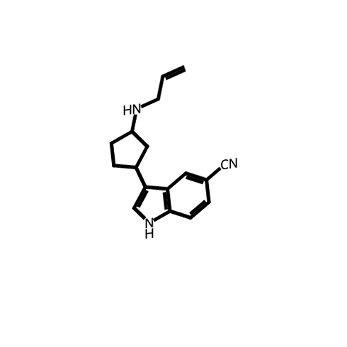 C=CCNC1CCC(c2c[nH]c3ccc(C#N)cc23)C1